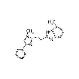 Cc1cccn2nc(CCc3nc(-c4ccccc4)cn3C)nc12